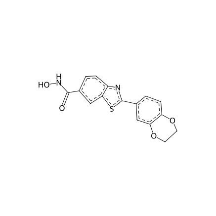 O=C(NO)c1ccc2nc(-c3ccc4c(c3)OCCO4)sc2c1